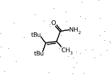 CC(C(N)=O)=C(C(C)(C)C)C(C)(C)C